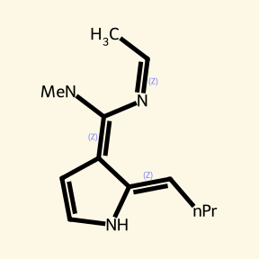 C\C=N/C(NC)=c1/cc[nH]/c1=C\CCC